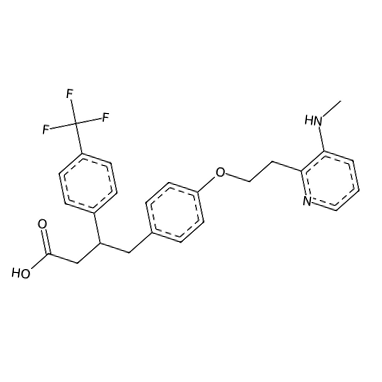 CNc1cccnc1CCOc1ccc(CC(CC(=O)O)c2ccc(C(F)(F)F)cc2)cc1